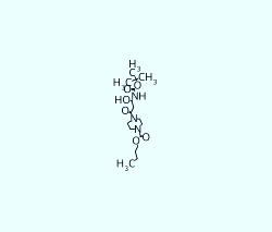 CCCCOC(=O)N1CCN(C(=O)CC(O)NC(=O)OC(C)(C)C)CC1